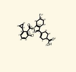 O=C(O)C1CC=C(c2nn(C(=O)c3c(Cl)cccc3C3CC3)c3c2CCC(F)C3)CC1